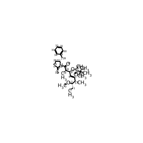 CC[C@H](OC)[C@@H](C)/C=C/[C@H](O[Si](C)(C)C(C)(C)C)[C@@H](C)C(=O)N1C(=S)SC[C@@H]1Cc1ccccc1